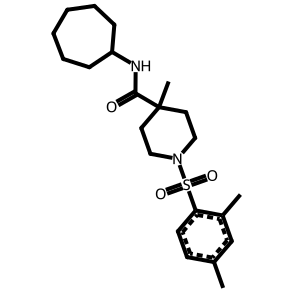 Cc1ccc(S(=O)(=O)N2CCC(C)(C(=O)NC3CCCCCC3)CC2)c(C)c1